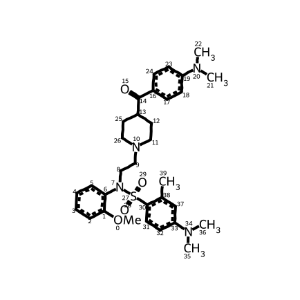 COc1ccccc1N(CCN1CCC(C(=O)c2ccc(N(C)C)cc2)CC1)S(=O)(=O)c1ccc(N(C)C)cc1C